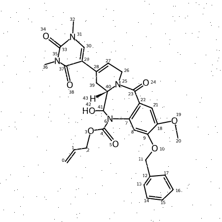 C=CCOC(=O)N1c2cc(OCc3ccccc3)c(OC)cc2C(=O)N2CC=C(c3cn(C)c(=O)n(C)c3=O)C[C@H]2C1O